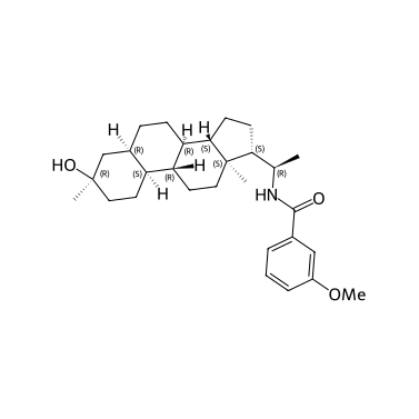 COc1cccc(C(=O)N[C@H](C)[C@H]2CC[C@H]3[C@@H]4CC[C@@H]5C[C@](C)(O)CC[C@@H]5[C@H]4CC[C@]23C)c1